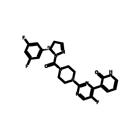 O=C(N1CCN(c2ncc(F)c(-c3ccc[nH]c3=O)n2)CC1)N1N=CC[C@H]1c1cc(F)cc(F)c1